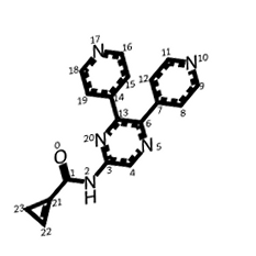 O=C(Nc1cnc(-c2ccncc2)c(-c2ccncc2)n1)C1=CC1